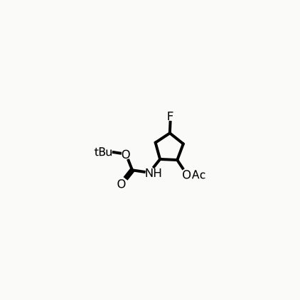 CC(=O)OC1CC(F)CC1NC(=O)OC(C)(C)C